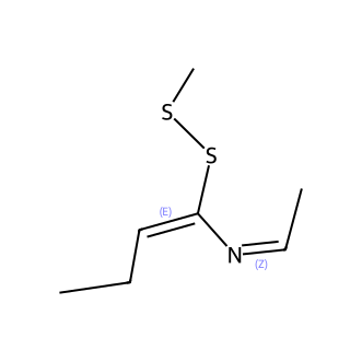 C/C=N\C(=C/CC)SSC